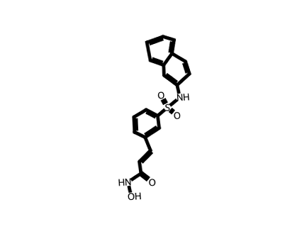 O=C(C=Cc1cccc(S(=O)(=O)Nc2ccc3ccccc3c2)c1)NO